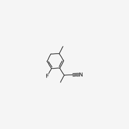 CC1C=C(C(C)C#N)C(F)=CC1